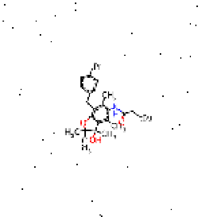 Cc1c(Cc2ccc(C(C)C)cc2)c2c(c(C)c1NC(=O)CC(C)(C)C)C(C)(O)C(C)(C)O2